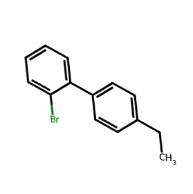 CCc1ccc(-c2ccccc2Br)cc1